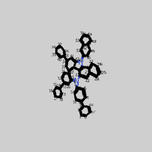 c1ccc(-c2ccc(N(c3cccc(-c4ccccc4)c3)c3cc4ccccc4c4c3c3ccc(-c5ccccc5)cc3n4-c3ccc4ccccc4c3)cc2)cc1